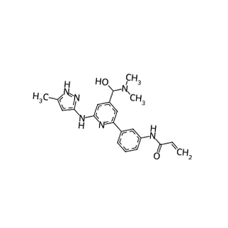 C=CC(=O)Nc1cccc(-c2cc(C(O)N(C)C)cc(Nc3cc(C)[nH]n3)n2)c1